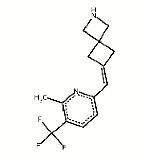 Cc1nc(C=C2CC3(CNC3)C2)ccc1C(F)(F)F